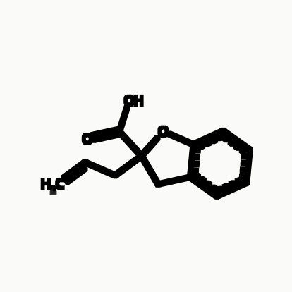 C=CCC1(C(=O)O)Cc2ccccc2O1